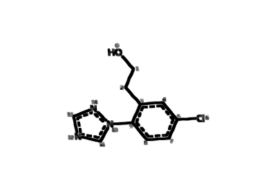 OCCc1cc(Cl)ccc1-n1cncn1